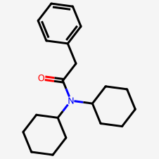 O=C(Cc1ccccc1)N(C1CCCCC1)C1CCCCC1